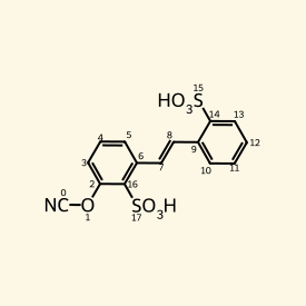 N#COc1cccc(/C=C/c2ccccc2S(=O)(=O)O)c1S(=O)(=O)O